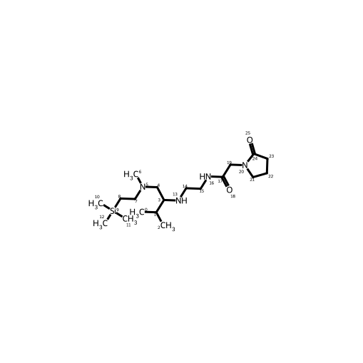 CC(C)C(CN(C)CC[Si](C)(C)C)NCCNC(=O)CN1CCCC1=O